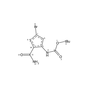 CC(C)(C)OC(=O)Nc1cc(Br)sc1C(N)=O